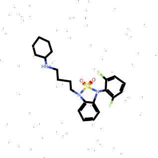 O=S1(=O)N(CCCCNC2CCCCC2)c2ccccc2N1c1c(F)cccc1F